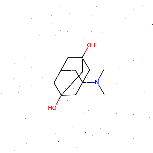 CN(C)C12CC3CC(O)(CC(O)(C3)C1)C2